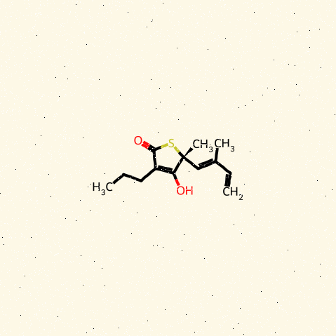 C=C/C(C)=C/[C@@]1(C)SC(=O)C(CCC)=C1O